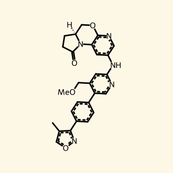 COCc1cc(Nc2cnc3c(c2)N2C(=O)CC[C@H]2CO3)ncc1-c1ccc(-c2nocc2C)cc1